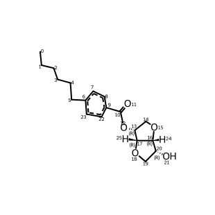 CCCCCCc1ccc(C(=O)O[C@@H]2CO[C@H]3[C@@H]2OC[C@H]3O)cc1